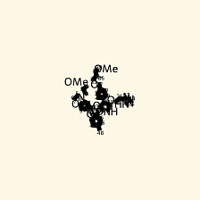 COCCCN1CCOc2ccc(C(O[C@H]3CNC[C@@H](OCCc4nnn[nH]4)[C@@H]3c3ccc(COC[C@@H](C)COC)cc3)S(=O)(=O)c3ccc(C)cc3)cc21